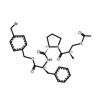 CC(=O)SC[C@@H](C)C(=O)N1CCC[C@H]1C(=O)N[C@@H](Cc1ccccc1)C(=O)OCc1ccc(CBr)cc1